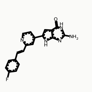 Nc1nc2[nH]c(-c3ccnc(/C=C/c4ccc(F)cc4)c3)cc2c(=O)[nH]1